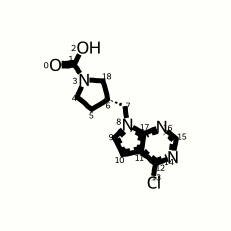 O=C(O)N1CC[C@@H](Cn2ccc3c(Cl)ncnc32)C1